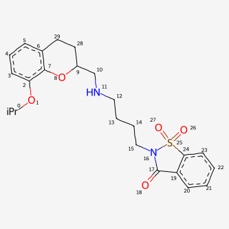 CC(C)Oc1cccc2c1OC(CNCCCCN1C(=O)c3ccccc3S1(=O)=O)CC2